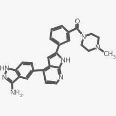 CN1CCN(C(=O)c2cccc(-c3cc4c(-c5ccc6[nH]nc(N)c6c5)ccnc4[nH]3)c2)CC1